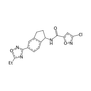 CCc1nc(-c2ccc3c(c2)CCC3NC(=O)c2cc(Cl)no2)no1